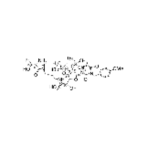 COc1ccc(Cn2c(=O)ccn([C@@H]3OC([C@H](O)[C@H](NCCCNC(=O)[C@@H](N)[C@@H](O)C(C)C)C(=O)O)[C@@H](O[Si](C)(C)C(C)(C)C)[C@H]3O[Si](C)(C)C(C)(C)C)c2=O)cc1